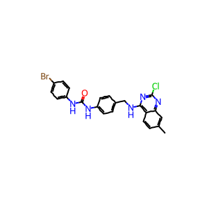 Cc1ccc2c(NCc3ccc(NC(=O)Nc4ccc(Br)cc4)cc3)nc(Cl)nc2c1